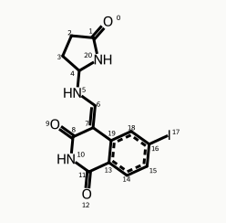 O=C1CCC(N/C=C2\C(=O)NC(=O)c3ccc(I)cc32)N1